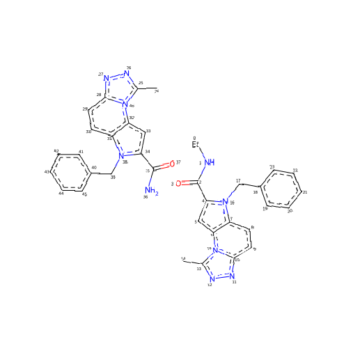 CCNC(=O)c1cc2c(ccc3nnc(C)n32)n1Cc1ccccc1.Cc1nnc2ccc3c(cc(C(N)=O)n3Cc3ccccc3)n12